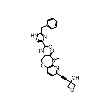 CN1C(=O)[C@@H](NC(=O)c2n[nH]c(Cc3ccccc3)n2)COc2ccc(C#CC3(O)COC3)nc21